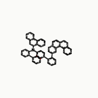 c1ccc(-c2ccccc2N(c2ccc(-c3ccccc3-c3ccc4ccc5ccc6ccccc6c5c4c3)cc2)c2cc3ccccc3c3ccccc23)cc1